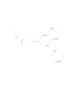 Cl.NC[C@@H]1CCN(c2nc(-c3ccccc3F)c3ccccc3n2)C1